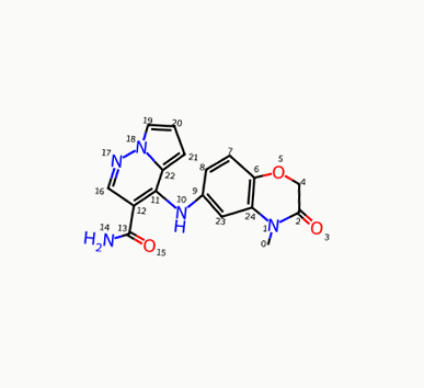 CN1C(=O)COc2ccc(Nc3c(C(N)=O)cnn4cccc34)cc21